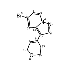 Brc1ccn2ncc(C3=CCOCC3)c2c1